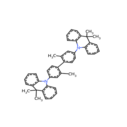 Cc1cc(N2c3ccccc3C(C)(C)c3ccccc32)ccc1-c1ccc(N2c3ccccc3C(C)(C)c3ccccc32)cc1C